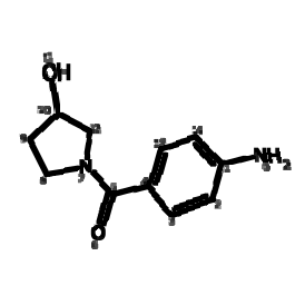 Nc1ccc(C(=O)N2CCC(O)C2)cc1